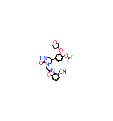 N#Cc1cccc2oc(CN3CC(c4ccc(OC(F)F)c(OC5CCOC5)c4)CNC3=O)nc12